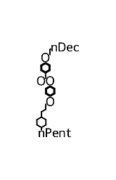 CCCCCCCCCCCCOc1ccc(C(=O)Oc2ccc(OCCCC3CCC(CCCCC)CC3)cc2)cc1